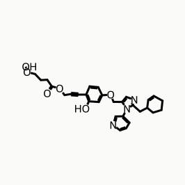 O=C(CCCOO)OCC#Cc1ccc(OCc2cnc(CC3C=CCCC3)n2-c2cccnc2)cc1O